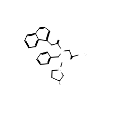 COC(=O)CN(C(=O)Cc1cccc2ccccc12)[C@H](CN1CC[C@H](O)C1)c1ccccc1